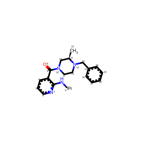 CC(C)Nc1ncccc1C(=O)N1CCN(Cc2ccccc2)[C@H](C)C1